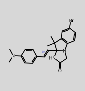 CN(C)c1ccc(/C=C/C23NC(=O)CN2c2ccc(Br)cc2C3(C)C)cc1